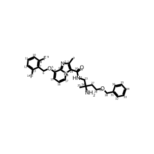 Cc1nc2c(OCc3c(F)cccc3F)cccn2c1C(=O)NCC(C)(N)CCOCc1ccccc1